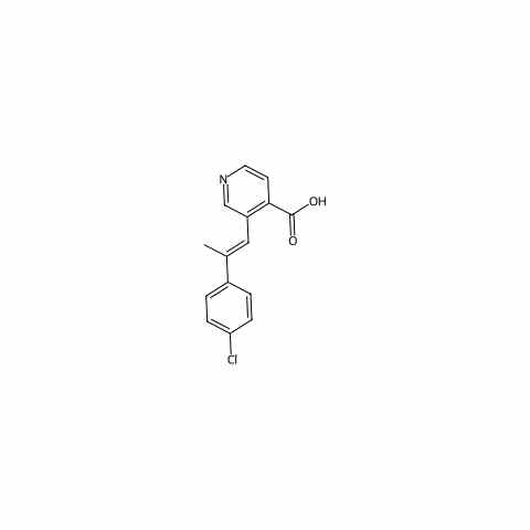 CC(=Cc1cnccc1C(=O)O)c1ccc(Cl)cc1